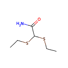 CCSC(SCC)C(N)=O